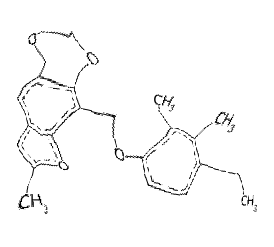 CCc1ccc(OCc2c3c(cc4cc(C)oc24)OCO3)c(C)c1C